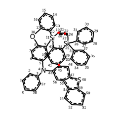 c1ccc(N(c2ccc3c(c2)[Si]2(c4ccccc4O3)c3ccccc3[Si](c3ccccc3)(c3ccccc3)c3ccccc32)c2ccc3sc4ccccc4c3c2)cc1